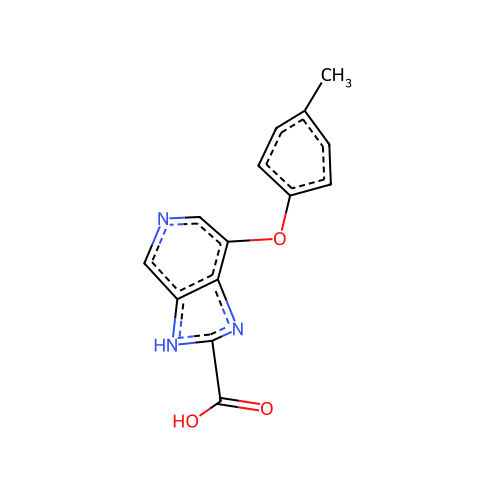 Cc1ccc(Oc2cncc3[nH]c(C(=O)O)nc23)cc1